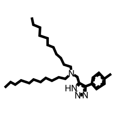 CCCCCCCCCCCN(CCCCCCCCCCC)Cc1[nH]nnc1-c1ccc(C)cc1